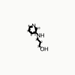 OCCCNc1cccnc1